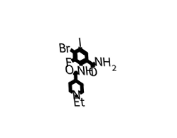 CCN1CCC(C(=O)Nc2c(C(N)=O)cc(I)c(Br)c2F)CC1